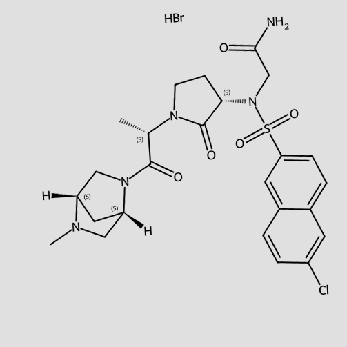 Br.C[C@@H](C(=O)N1C[C@@H]2C[C@H]1CN2C)N1CC[C@H](N(CC(N)=O)S(=O)(=O)c2ccc3cc(Cl)ccc3c2)C1=O